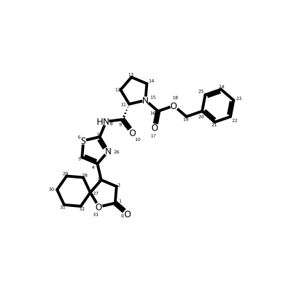 O=C1CC(c2csc(NC(=O)[C@@H]3CCCN3C(=O)OCc3ccccc3)n2)C2(CCCCC2)O1